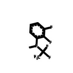 CP(c1cccc(F)c1F)C(F)(F)C(F)(F)F